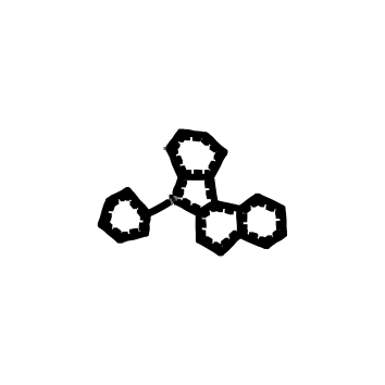 [c]1cccc2c3c4ccccc4ccc3n(-c3ccccc3)c12